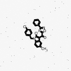 Cc1ccc2c(c1)c(C(=O)c1nc(-c3ccccc3)no1)c(Cl)n2Cc1ccc(Cl)cc1